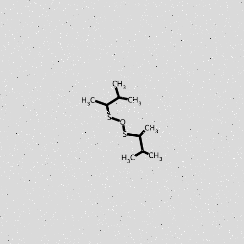 CC(C)C(C)SOSC(C)C(C)C